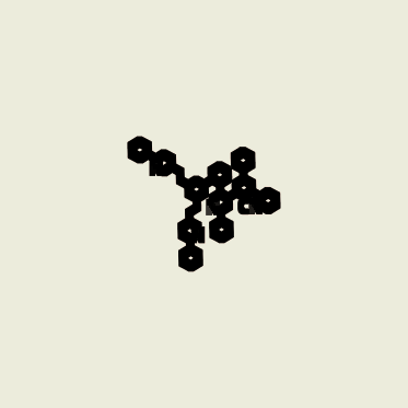 N#Cc1c(-c2ccccc2)cc(-c2ccccc2)cc1-c1cc(-c2ccccc2)ncc1-c1ccccc1-c1cc(CCc2ccc(-c3ccccc3)nc2)cc(CCc2ccc(-c3ccccc3)nc2)c1